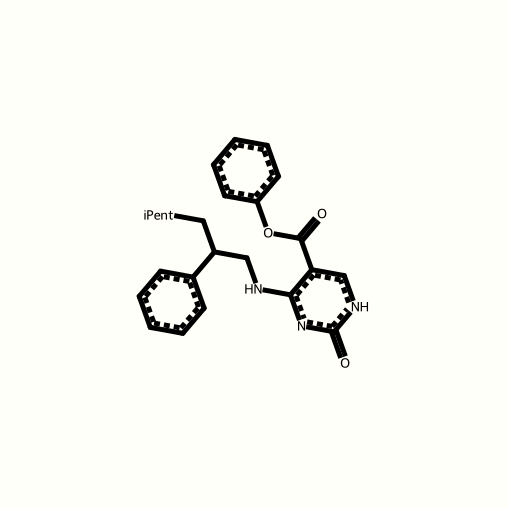 CCCC(C)CC(CNc1nc(=O)[nH]cc1C(=O)Oc1ccccc1)c1ccccc1